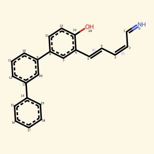 N=C/C=C\C=C\c1cc(-c2cccc(-c3ccccc3)c2)ccc1O